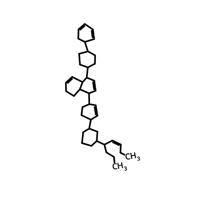 CC/C=C\C(CCC)C1CCCC(C2C=CC(C3C=CC(C4CCC(C5C=CC=CC5)CC4)C4C=CCCC34)CC2)C1